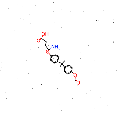 CC(C)(c1ccc(OC=O)cc1)c1ccc(OC(N)CCC(=O)O)cc1